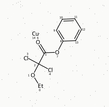 CCOC(Cl)(Cl)C(=O)Oc1ccccc1.[Cu]